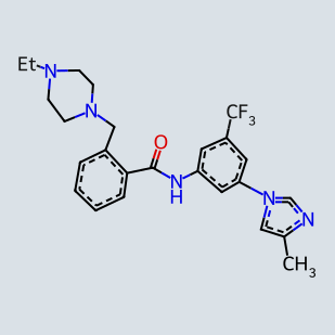 CCN1CCN(Cc2ccccc2C(=O)Nc2cc(-n3cnc(C)c3)cc(C(F)(F)F)c2)CC1